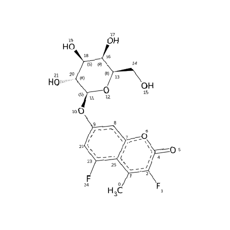 Cc1c(F)c(=O)oc2cc(O[C@@H]3O[C@H](CO)[C@H](O)[C@H](O)[C@H]3O)cc(F)c12